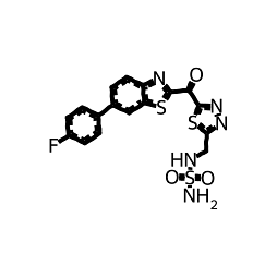 NS(=O)(=O)NCc1nnc(C(=O)c2nc3ccc(-c4ccc(F)cc4)cc3s2)s1